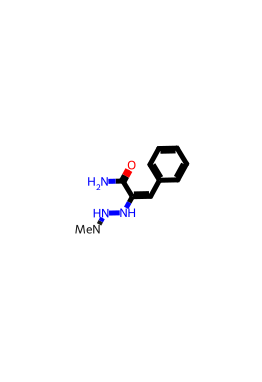 CNNN/C(=C/c1ccccc1)C(N)=O